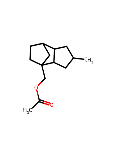 CC(=O)OCC12CCC(C1)C1CC(C)CC12